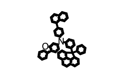 c1ccc(C2(c3cccc(N(c4ccc(-c5cccc6ccccc56)cc4)c4ccc5c(c4)oc4ccccc45)c3)c3cccc4ccc5cccc2c5c34)cc1